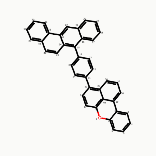 c1ccc2c(c1)Oc1ccc(-c3ccc(-c4c5ccccc5cc5c4ccc4ccccc45)cc3)c3cccc-2c13